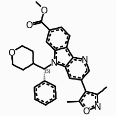 COC(=O)c1ccc2c3ncc(-c4c(C)noc4C)cc3n([C@H](c3ccccc3)C3CCOCC3)c2c1